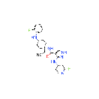 N#CCC1(NC(=O)c2c[nH]nc2Nc2ccnc(F)c2)CCC(Nc2ccccc2F)CC1